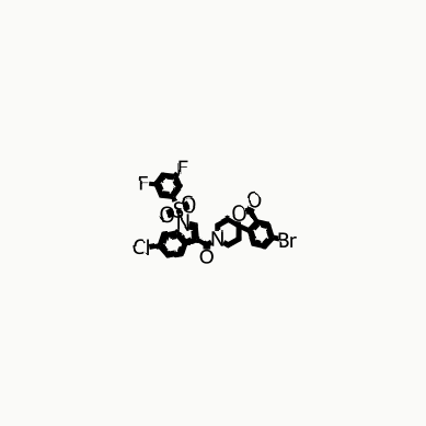 O=C1OC2(CCN(C(=O)c3cn(S(=O)(=O)c4cc(F)cc(F)c4)c4cc(Cl)ccc34)CC2)c2ccc(Br)cc21